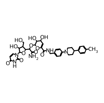 Cc1ccc(C2CCN(c3ccc(CNC(=O)C4=CC(O)C(O)C(OC(C(N)=O)C5OC(n6ccc(=O)[nH]c6=O)C(O)C5CO)O4)cc3)CC2)cc1